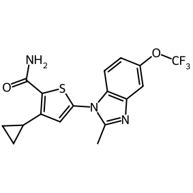 Cc1nc2cc(OC(F)(F)F)ccc2n1-c1cc(C2CC2)c(C(N)=O)s1